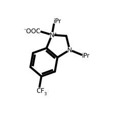 CC(C)N1C[N+](C(=O)[O-])(C(C)C)c2ccc(C(F)(F)F)cc21